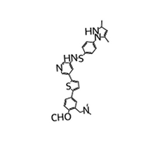 CC1=CC(C)NN1c1ccc(SNc2cncc(-c3ccc(-c4ccc(C=O)c(CN(C)C)c4)s3)c2)cc1